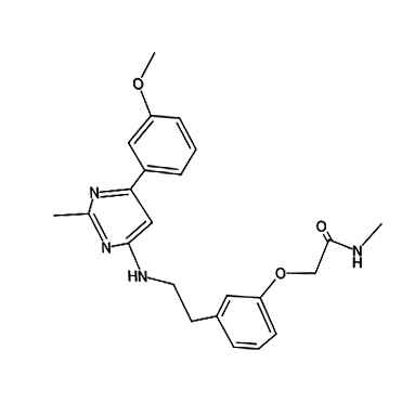 CNC(=O)COc1cccc(CCNc2cc(-c3cccc(OC)c3)nc(C)n2)c1